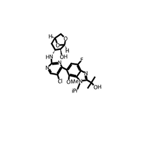 COc1c(-c2nc(N[C@@H]3C[C@H]4CO[C@H](O4)[C@H]3O)ncc2Cl)cc(F)c2nc(C(C)(C)O)n(C(C)C)c12